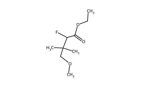 CCOC(=O)C(F)C(C)(C)COC